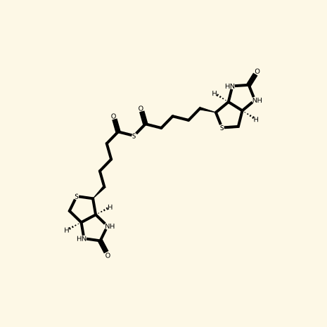 O=C1N[C@H]2[C@H](CS[C@H]2CCCCC(=O)SC(=O)CCCC[C@@H]2SC[C@@H]3NC(=O)N[C@@H]32)N1